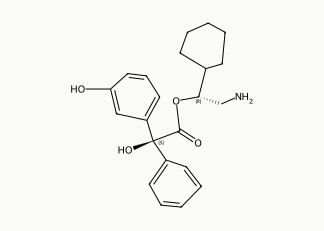 NC[C@H](OC(=O)[C@](O)(c1ccccc1)c1cccc(O)c1)C1CCCCC1